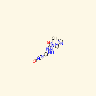 C=CCn1c(=O)c2cnc(Nc3ccc(N4CCN(C5COC5)CC4)cc3)nc2n1-c1cccc(-c2ncccn2)n1